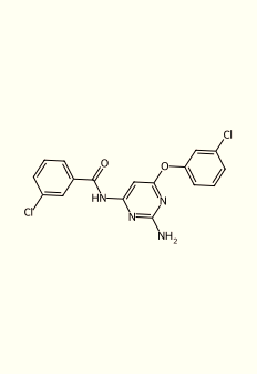 Nc1nc(NC(=O)c2cccc(Cl)c2)cc(Oc2cccc(Cl)c2)n1